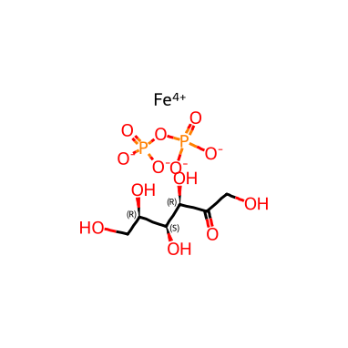 O=C(CO)[C@H](O)[C@@H](O)[C@H](O)CO.O=P([O-])([O-])OP(=O)([O-])[O-].[Fe+4]